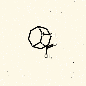 CC(=O)C1C2CCCCC(CC2)N1C